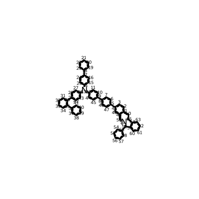 C1=c2ccc(-c3ccc(-c4ccc(N(c5ccc(-c6ccccc6)cc5)c5ccc(-c6ccccc6-c6ccccc6)cc5)cc4)cc3)cc2=C[N+]2=C(c3ccccc3)c3ccccc3C12